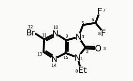 CCn1c(=O)n(CC(F)F)c2nc(Br)cnc21